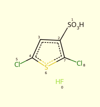 F.O=S(=O)(O)c1cc(Cl)sc1Cl